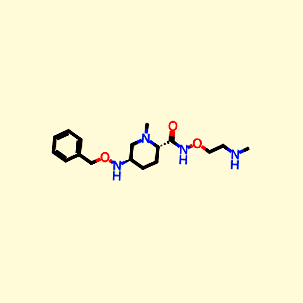 CNCCONC(=O)[C@@H]1CC[C@@H](NOCc2ccccc2)CN1C